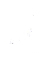 COC(=O)c1nn(-c2ccc(F)cc2)c2c1CCc1cnccc1-2